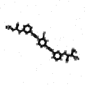 C=CC(=O)Oc1cccc(C#Cc2ccc(C#Cc3cccc(OC(=O)C(=C)C)c3)cc2F)c1